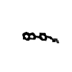 NCc1ccc(C2=Cc3ccccc3C2)cc1